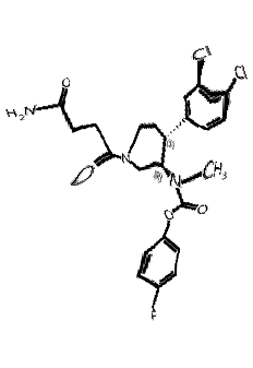 CN(C(=O)Oc1ccc(F)cc1)[C@H]1CN(C(=O)CCC(N)=O)C[C@@H]1c1ccc(Cl)c(Cl)c1